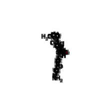 Cc1ccc2cccc(OCc3c(Cl)ccc(S(=O)(=O)N4CCC[C@H]4C(=O)NCC4CCN(C(=O)Cc5ccc(C=NN)cc5)CC4)c3Cl)c2n1.Cl.Cl